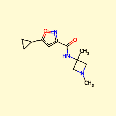 CN1CC(C)(NC(=O)c2cc(C3CC3)on2)C1